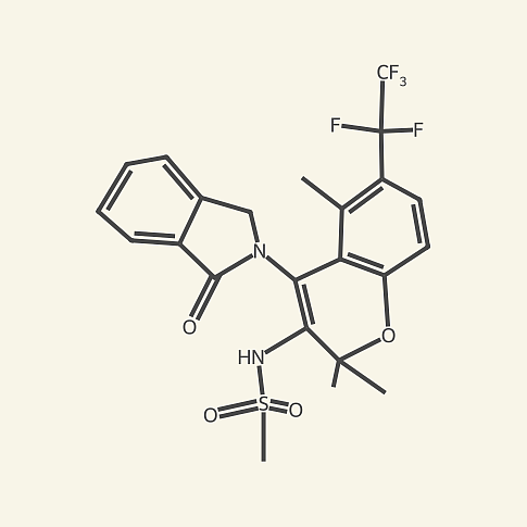 Cc1c(C(F)(F)C(F)(F)F)ccc2c1C(N1Cc3ccccc3C1=O)=C(NS(C)(=O)=O)C(C)(C)O2